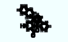 O=C1OC(c2ccccc2)(c2ccccc2)N2C1CNCC2C(=O)N1CCc2ccccc2C1